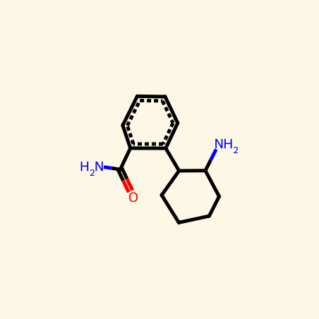 NC(=O)c1ccccc1C1CCCCC1N